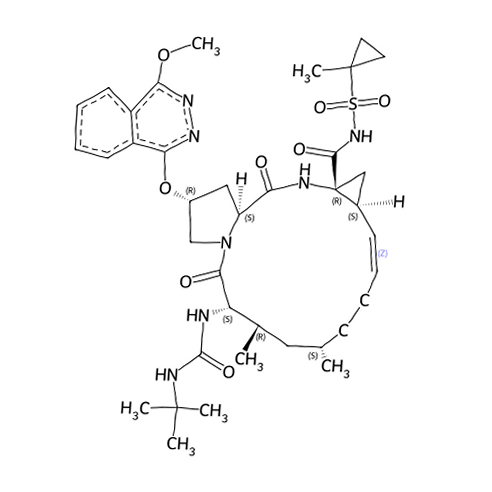 COc1nnc(O[C@@H]2C[C@H]3C(=O)N[C@]4(C(=O)NS(=O)(=O)C5(C)CC5)C[C@H]4/C=C\CC[C@H](C)C[C@@H](C)[C@H](NC(=O)NC(C)(C)C)C(=O)N3C2)c2ccccc12